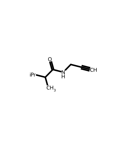 C#CCNC(=O)C(C)C(C)C